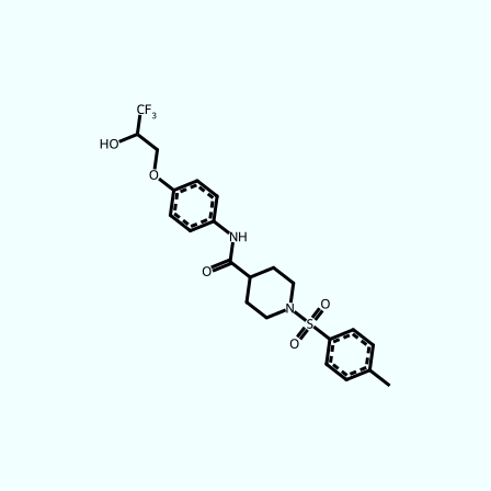 Cc1ccc(S(=O)(=O)N2CCC(C(=O)Nc3ccc(OCC(O)C(F)(F)F)cc3)CC2)cc1